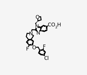 O=C(O)c1ccc2nc(CN3CCc4cc(F)c(OCc5ccc(Cl)cc5F)cc4C3)n(C[C@@H]3CCO3)c2c1